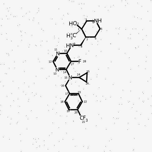 C[C@]1(O)CNCC[C@H]1CNc1ncnc(N(Cc2ccc(C(F)(F)F)cc2)C2CC2)c1F